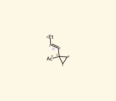 CC/C=C/C1(C(C)=O)CC1